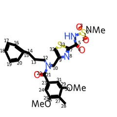 CNS(=O)(=O)NC(=O)c1nc(CN(CCCc2ccccc2)C(=O)c2cc(OC)c(C)c(OC)c2)cs1